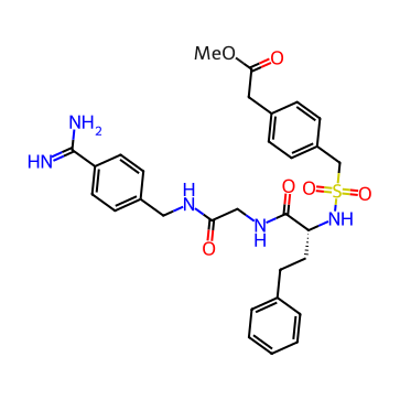 COC(=O)Cc1ccc(CS(=O)(=O)N[C@H](CCc2ccccc2)C(=O)NCC(=O)NCc2ccc(C(=N)N)cc2)cc1